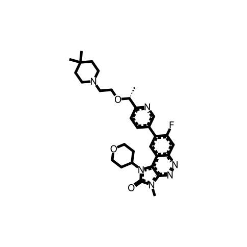 C[C@@H](OCCN1CCC(C)(C)CC1)c1ccc(-c2cc3c(cc2F)nnc2c3n(C3CCOCC3)c(=O)n2C)cn1